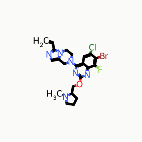 C=Cc1ncc2n1CCN(c1nc(OCC3CCCN3C)nc3c(F)c(Br)c(Cl)cc13)C2